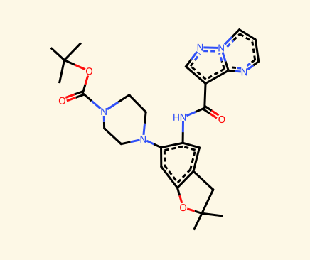 CC(C)(C)OC(=O)N1CCN(c2cc3c(cc2NC(=O)c2cnn4cccnc24)CC(C)(C)O3)CC1